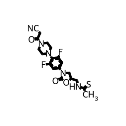 CC(=S)NCC1CN(c2cc(F)c(N3CCN(C(=O)CC#N)CC3)c(F)c2)C(=O)O1